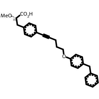 CO[C@@H](Cc1ccc(C#CCCCOc2ccc(Cc3ccccc3)cc2)cc1)C(=O)O